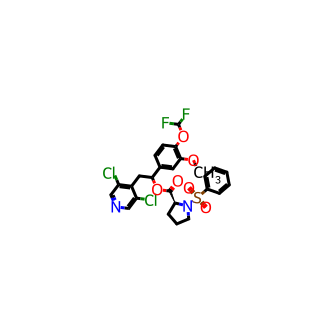 COc1cc(C(Cc2c(Cl)cncc2Cl)OC(=O)[C@@H]2CCCN2S(=O)(=O)c2ccccc2)ccc1OC(F)F